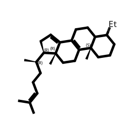 CCC1CCC[C@]2(C)C3=C(CCC12)C1=CC[C@H]([C@H](C)CCC=C(C)C)[C@@]1(C)CC3